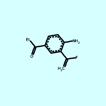 C=C(F)c1cc(C(=O)CC)ccc1N